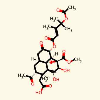 COC(=O)[C@@]12OC[C@]34[C@H](CC(=O)[C@H](OC(=O)/C=C(\C)C(C)(C)OC(C)=O)[C@@H]13)C[C@@H](C(C)=O)[C@](C)(CC(=O)O)[C@H]4[C@@H](O)[C@@H]2O